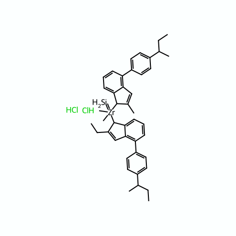 CCC1=Cc2c(-c3ccc(C(C)CC)cc3)cccc2[CH]1[Zr]([CH3])([CH3])(=[SiH2])[CH]1C(C)=Cc2c(-c3ccc(C(C)CC)cc3)cccc21.Cl.Cl